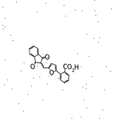 O=C1C(=Cc2ccc(-c3ccccc3C(=O)O)o2)C(=O)c2ccccc21